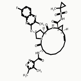 Cc1nc2ccc(F)cc2nc1O[C@@H]1C[C@H]2C(=O)N[C@]3(C(=O)NS(=O)(=O)C4(C)CC4)C[C@H]3C=CCCCCC[C@H](NC(=O)c3noc(C)c3C)C(=O)N2C1